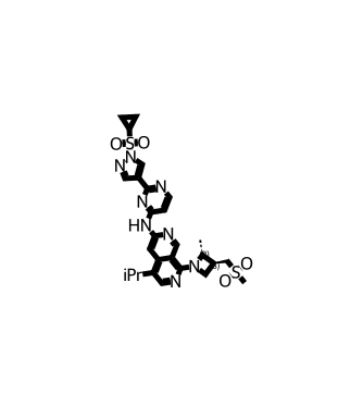 CC(C)c1cnc(N2C[C@H](CS(C)(=O)=O)[C@H]2C)c2cnc(Nc3ccnc(-c4cnn(S(=O)(=O)C5CC5)c4)n3)cc12